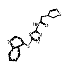 O=C(CC1C=CSC1)Nc1nnc(Sc2ccnc3ccccc23)s1